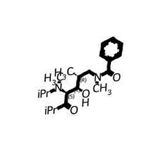 CC(C)C(=O)[C@H]([C@H](O)[C@H](C)CN(C)C(=O)c1ccccc1)N(C)C(C)C